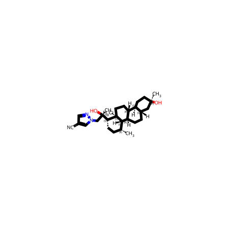 C[C@@H]1CC[C@H]([C@](C)(O)Cn2cc(C#N)cn2)[C@@]2(C)CC[C@H]3[C@@H](CC[C@H]4C[C@](C)(O)CC[C@@H]43)[C@H]12